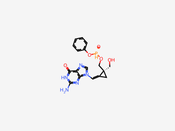 Nc1nc2c(ncn2/C=C2/C[C@]2(CO)CO[PH](=O)Oc2ccccc2)c(=O)[nH]1